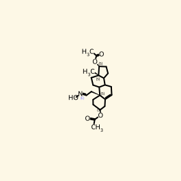 CC(=O)O[C@H]1CC[C@@]2(C/C=N/O)C(=CCC3C2CC[C@@]2(C)C3CC[C@@H]2OC(C)=O)C1